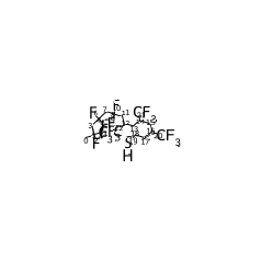 CC(F)(CC(F)(F)CC(F)(F)CC(CC(CC(CCS)C(F)(F)F)C(F)(F)F)C(F)(F)F)C(F)(F)F